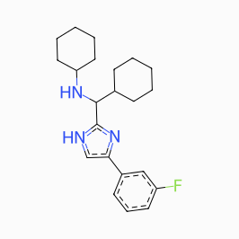 Fc1cccc(-c2c[nH]c(C(NC3CCCCC3)C3CCCCC3)n2)c1